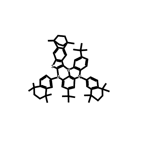 CC(C)(C)c1ccc2c(c1)B1c3c(cc(C(C)(C)C)cc3N(c3ccc4c(c3)C(C)(C)CCC4(C)C)c3sc4cc5c(cc4c31)C1(C)CCC5(C)CC1)N2c1ccc2c(c1)C(C)(C)CCC2(C)C